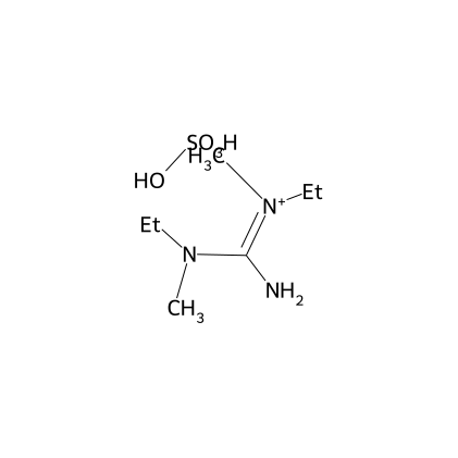 CCN(C)C(N)=[N+](C)CC.O=S(=O)(O)O